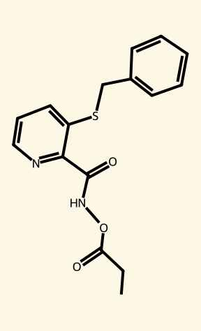 CCC(=O)ONC(=O)c1ncccc1SCc1ccccc1